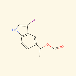 CC(OC=O)c1ccc2[nH]cc(I)c2c1